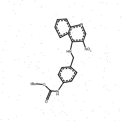 CC(C)(C)OC(=O)Nc1ccc(CNc2c([N+](=O)[O-])cnc3ccccc23)cc1